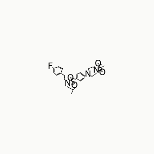 CC(C)CN(CCc1ccc(F)cc1)S(=O)(=O)c1ccc(N2CCN(S(C)(=O)=O)CC2)cc1